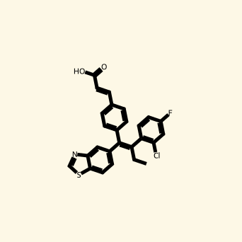 CC/C(=C(/c1ccc(/C=C/C(=O)O)cc1)c1ccc2scnc2c1)c1ccc(F)cc1Cl